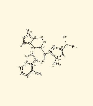 Cc1cccc2cc([C@@H]3c4nc[nH]c4CCN3C(=O)c3cc(C(F)F)nn3C)nn12